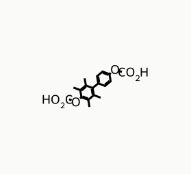 Cc1c(C)c(-c2ccc(OC(=O)O)cc2)c(C)c(C)c1OC(=O)O